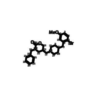 COc1ccc(Br)c(CC2CCN(CC3COC(=O)N(Cc4ccccc4)C3)CC2)c1